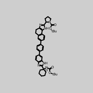 CC(C)(C)OC(=O)NC1(c2nc3ccc(-c4ccc(-c5ccc6c(c5)CCc5nc(C7CCCN7C(=O)OC(C)(C)C)[nH]c5-6)cc4)cc3[nH]2)CCCCC1